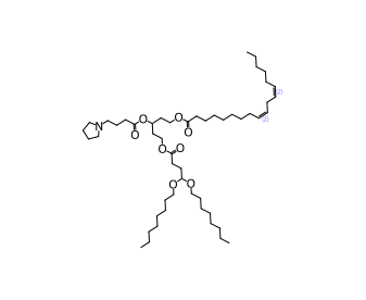 CCCCC/C=C\C/C=C\CCCCCCCC(=O)OCCC(CCOC(=O)CCC(OCCCCCCCC)OCCCCCCCC)OC(=O)CCCN1CCCC1